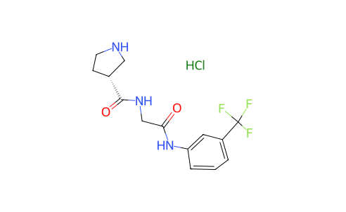 Cl.O=C(CNC(=O)[C@@H]1CCNC1)Nc1cccc(C(F)(F)F)c1